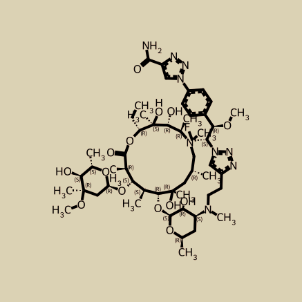 CC[C@H]1OC(=O)[C@H](C)[C@@H](O[C@H]2C[C@@](C)(OC)[C@@H](O)[C@H](C)O2)[C@H](C)[C@@H](O[C@@H]2O[C@H](C)C[C@H](N(C)CCc3cn([C@H](CF)[C@H](OC)c4ccc(-n5cc(C(N)=O)nn5)cc4)nn3)[C@H]2O)[C@](C)(O)C[C@@H](C)CN(C)[C@H](C)[C@@H](O)[C@]1(C)O